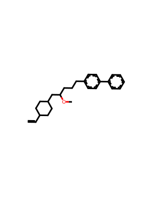 C=CC1CCC(CC(CCCc2ccc(-c3ccccc3)cc2)OC)CC1